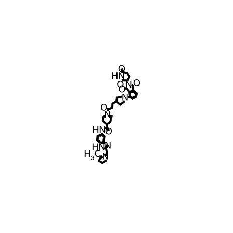 C[C@H]1CCCN1Cc1nc2cc(NC(=O)C3CCN(C(=O)CCC4CCN(c5cccc6c5C(=O)N(C5CCC(=O)NC5=O)C6=O)CC4)CC3)ccc2[nH]1